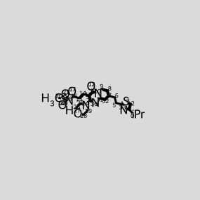 CC(C)c1csc(CCc2ccn3c(=O)c(C=CC(=O)NS(C)(=O)=O)c(N4CCOCC4)nc3c2)n1